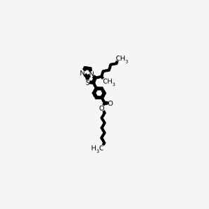 CCCCCCCCOC(=O)c1ccc(-c2sc3nccn3c2C(C)CCCCC)cc1